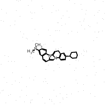 CN(C)c1ccc2c(c1)C=CC1=CN3C(=CCc4cc(C5CCCCC5)ccc43)N12